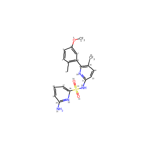 Cc1ccc(OC(F)(F)F)cc1-c1nc(NS(=O)(=O)c2cccc(N)n2)ccc1C(F)(F)F